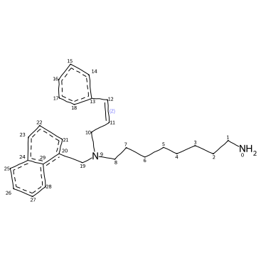 NCCCCCCCCN(C/C=C\c1ccccc1)Cc1cccc2ccccc12